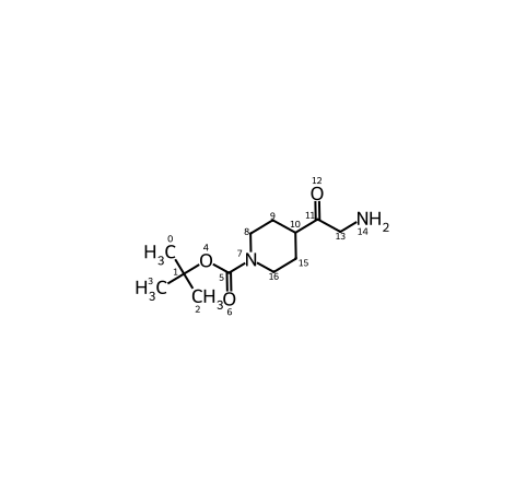 CC(C)(C)OC(=O)N1CCC(C(=O)CN)CC1